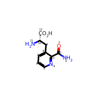 NC(=O)c1ncccc1C[C@H](N)C(=O)O